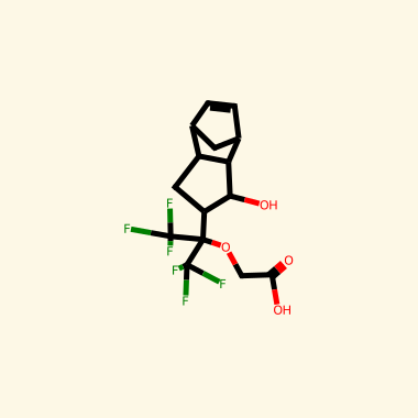 O=C(O)COC(C1CC2C3C=CC(C3)C2C1O)(C(F)(F)F)C(F)(F)F